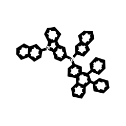 c1ccc(-c2c(-c3ccccc3)c3cc(N(c4ccc5ccccc5c4)c4ccc5c(c4)c4ccccc4n5-c4ccc5ccccc5c4)ccc3c3ccccc23)cc1